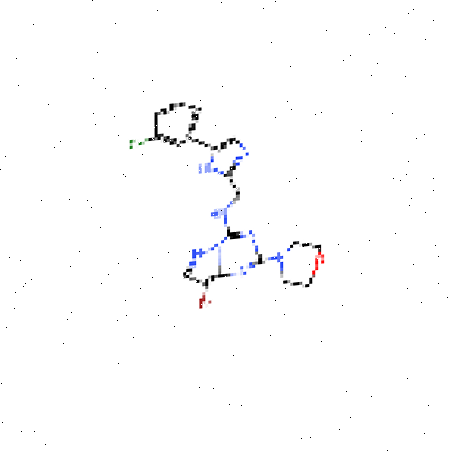 Clc1cccc(-c2cnc(CNc3nc(N4CCOCC4)nc4c(Br)cnn34)[nH]2)c1